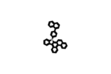 c1ccc2c(-c3ccc(-n4c5ccccc5c5c6ccccc6c6c7ccccc7ccc6c54)cc3)cccc2c1